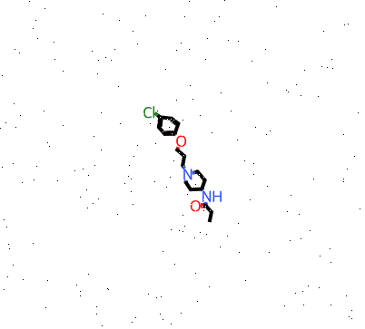 CCC(=O)NC1CCN(CCCOc2ccc(Cl)cc2)CC1